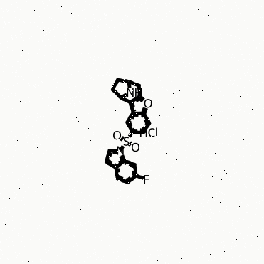 Cl.O=S(=O)(c1ccc2oc3c(c2c1)C1CCC(C3)N1)n1ccc2ccc(F)cc21